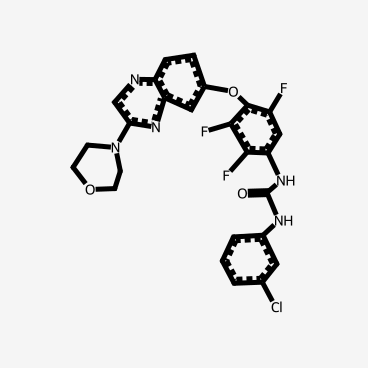 O=C(Nc1cccc(Cl)c1)Nc1cc(F)c(Oc2ccc3ncc(N4CCOCC4)nc3c2)c(F)c1F